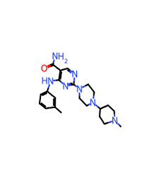 Cc1cccc(Nc2nc(N3CCN(C4CCN(C)CC4)CC3)ncc2C(N)=O)c1